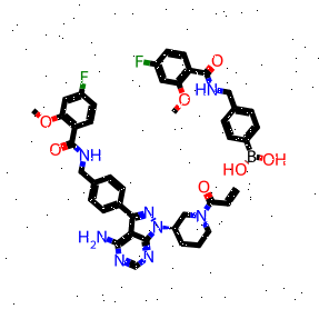 C=CC(=O)N1CCC[C@@H](n2nc(-c3ccc(CNC(=O)c4ccc(F)cc4OC)cc3)c3c(N)ncnc32)C1.COc1cc(F)ccc1C(=O)NCc1ccc(B(O)O)cc1